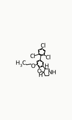 CCCOc1cc(-c2c(Cl)cc(Cl)cc2Cl)cc2c1O[C@H]1CCNC[C@@H]21